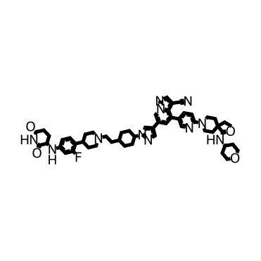 CCC1(C(=O)NC2CCOCC2)CCN(c2ccc(-c3cc(-c4cnn(C5CCC(CCN6CCC(c7ccc(NC8CCC(=O)NC8=O)cc7F)CC6)CC5)c4)cn4ncc(C#N)c34)cn2)CC1